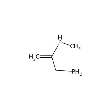 C=C(CP)PC